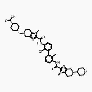 Cc1c(NC(=O)c2nc3c(n2C)CCN(C2CCOCC2)C3)cccc1-c1cccc(NC(=O)c2nc3c(n2C)CCN(C[C@H]2CC[C@H](C(=O)O)CC2)C3)c1Cl